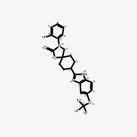 O=C1OC2(CCC(c3nc4cc(OC(F)(F)F)ccc4[nH]3)CC2)CN1c1ccccc1F